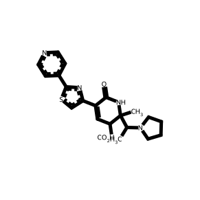 CC(N1CCCC1)C1(C)NC(=O)C(c2csc(-c3ccncc3)n2)=CC1C(=O)O